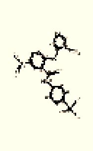 Cn1cnnc1Sc1ccc([N+](=O)[O-])cc1C(=O)Nc1ccc(C(F)(F)F)cc1